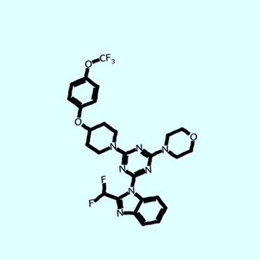 FC(F)c1nc2ccccc2n1-c1nc(N2CCOCC2)nc(N2CCC(Oc3ccc(OC(F)(F)F)cc3)CC2)n1